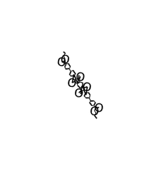 C=CCOC(=O)c1ccc(-c2ccc(-n3c(=O)c4cc5c(=O)n(-c6ccc(-c7ccc(C(=O)OCC=C)cc7)cc6)c(=O)c5cc4c3=O)cc2)cc1